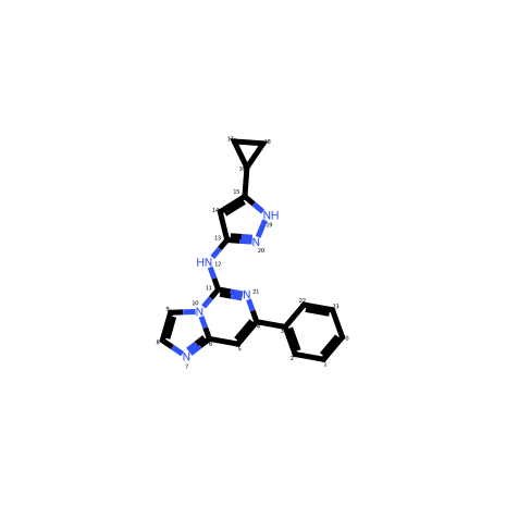 c1ccc(-c2cc3nccn3c(Nc3cc(C4CC4)[nH]n3)n2)cc1